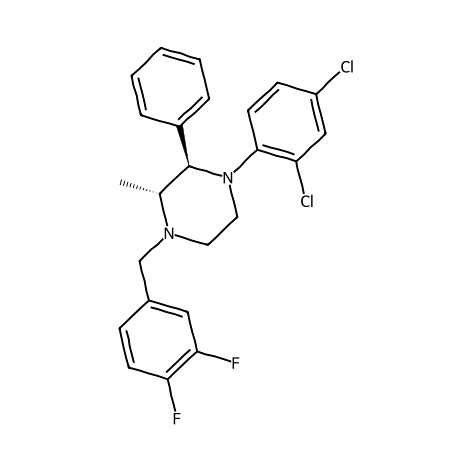 C[C@@H]1[C@@H](c2ccccc2)N(c2ccc(Cl)cc2Cl)CCN1Cc1ccc(F)c(F)c1